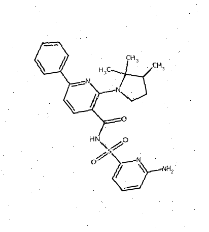 CC1CCN(c2nc(-c3ccccc3)ccc2C(=O)NS(=O)(=O)c2cccc(N)n2)C1(C)C